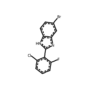 Fc1cccc(Cl)c1-c1nc2cc(Br)ccc2[nH]1